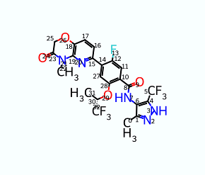 Cc1n[nH]c(C(F)(F)F)c1NC(=O)c1cc(F)c(-c2ccc3c(n2)N(C)C(=O)CO3)cc1O[C@@H](C)C(F)(F)F